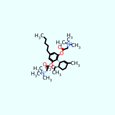 C=C(C)[C@@H]1CCC(C)=C[C@H]1c1c(OC(=O)C[N+](C)(C)C)cc(CCCCC)cc1OC(=O)C[N+](C)(C)C